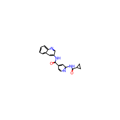 O=C(Nc1cnc2ccccc2c1)c1ccnc(NC(=O)C2CC2)c1